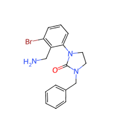 NCc1c(Br)cccc1N1CCN(Cc2ccccc2)C1=O